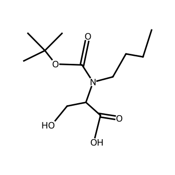 CCCCN(C(=O)OC(C)(C)C)C(CO)C(=O)O